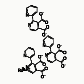 O=C([O-])c1ccnc(-c2ccccn2)c1C(=O)[O-].O=C([O-])c1ccnc(-c2ccccn2)c1C(=O)[O-].O=C([O-])c1ccnc(-c2ccccn2)c1C(=O)[O-].[Ru+3].[Ru+3]